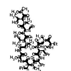 CC[C@H](NC=O)C(=O)N(C)CC(=O)N(C)[C@@H](CC(C)C)C(=O)N[C@H](C(=O)N(C)[C@@H](CC(C)C)C(=O)N[C@@H](C)C(=O)N[C@H](C)CN(C)[C@@H](CC(C)C)C(=O)N(C)[C@@H](CC(C)C)C(=O)N(C)[C@H](C(=O)N(C)C)C(C)O)C(C)C